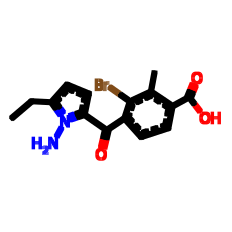 CCc1ccc(C(=O)c2ccc(C(=O)O)c(C)c2Br)n1N